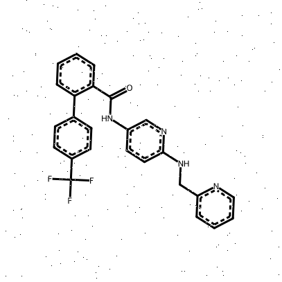 O=C(Nc1ccc(NCc2ccccn2)nc1)c1ccccc1-c1ccc(C(F)(F)F)cc1